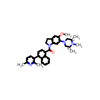 COc1cc2c(cc1N1C[C@@H](C)N(C)[C@@H](C)C1)N(C(=O)c1ccc(-c3ccc(C)nc3C)c3ccccc13)CC2